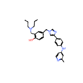 CCCN(CCC)Cc1cc(Cn2cnc(-c3ccc(Nc4ccnc(C)c4)cc3)c2)ccc1O